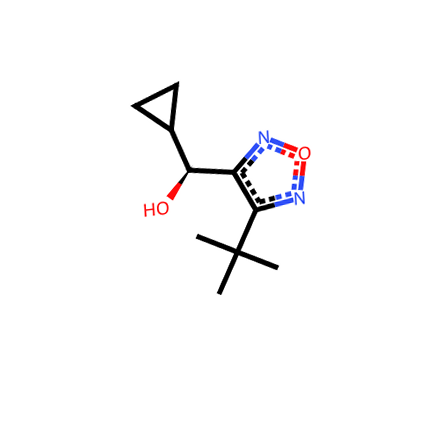 CC(C)(C)c1nonc1[C@@H](O)C1CC1